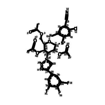 CC(=O)OC[C@H]1O[C@H](Sc2cc(Cl)c(C#N)cc2F)[C@H](OC(C)=O)[C@@H](n2cc(-c3cc(F)c(F)c(F)c3)nn2)[C@H]1OC(C)=O